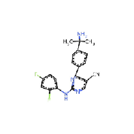 CC(C)(N)c1ccc(-c2nc(Nc3ccc(F)cc3F)ncc2C#N)cc1